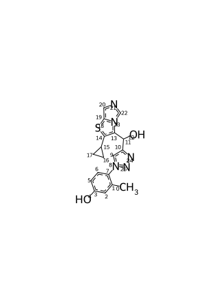 Cc1cc(O)ccc1-n1cc(C(O)c2c(C3CC3)sc3cncn23)nn1